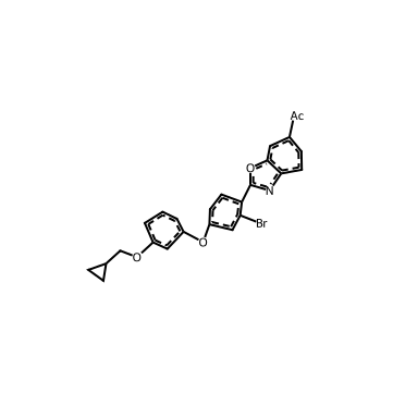 CC(=O)c1ccc2nc(-c3ccc(Oc4cccc(OCC5CC5)c4)cc3Br)oc2c1